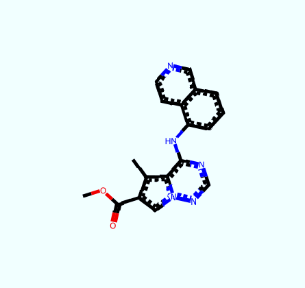 COC(=O)c1cn2ncnc(Nc3cccc4cnccc34)c2c1C